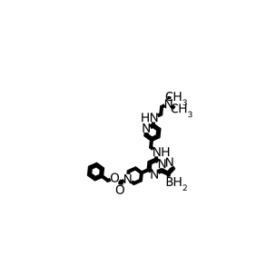 Bc1cnn2c(NCc3ccc(NCCN(C)C)nc3)cc(C3CCN(C(=O)OCc4ccccc4)CC3)nc12